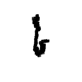 CNC(=O)COc1cc2cc(Nc3nc(N4CCC(OCCOCCOCCOCCOc5cccc(-c6ccc7c(c6)CN(C6CCC(=O)NC6=O)C7=O)c5)CC4)ncc3Cl)ccc2n(C)c1=O